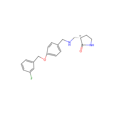 O=C1NCC[C@H]1CNCc1ccc(OCc2cccc(F)c2)cc1